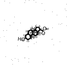 COC(=O)C1CC[C@H]2[C@@H]3CC=C4CC(O)CC[C@]4(C)[C@@H]3CC[C@]12C